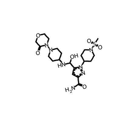 CS(=O)(=O)N1CCC(n2nc(C(N)=O)cc2C(O)NC2CCN(N3CCOCC3=O)CC2)CC1